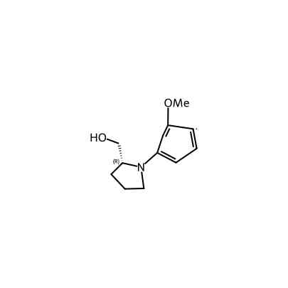 COc1[c]ccc(N2CCC[C@@H]2CO)c1